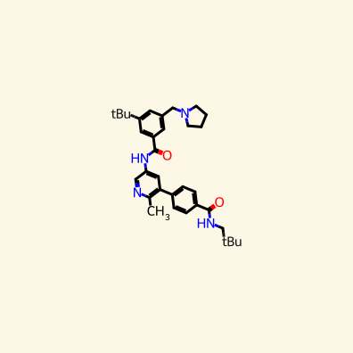 Cc1ncc(NC(=O)c2cc(CN3CCCC3)cc(C(C)(C)C)c2)cc1-c1ccc(C(=O)NCC(C)(C)C)cc1